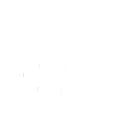 CC(C)(C)c1cc2ccccc2[s+]1C(F)(F)F.[Cl-]